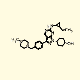 CCC1CC1Nc1ncc2c(-c3ccc(CN4CCN(C)CC4)cc3)nn([C@H]3CC[C@H](O)CC3)c2n1